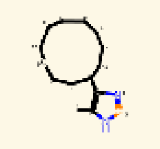 Cc1[nH]pnc1C1CCCCCCCCCC1